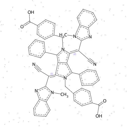 Cn1c(/C(C#N)=c2/c3c(-c4ccccc4)n(Cc4ccc(C(=O)O)cc4)/c(=C(/C#N)c4nc5ccccc5n4C)c3c(-c3ccccc3)n2Cc2ccc(C(=O)O)cc2)nc2ccccc21